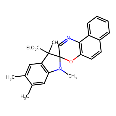 CCOC(=O)C1(C)c2cc(C)c(C)cc2N(C)C12C=Nc1c(ccc3ccccc13)O2